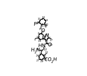 Cc1cc(OCc2c(F)cccc2F)n2nc(C)c(C(=O)NCC(N)c3cccc(C(=O)O)c3C)c2c1